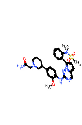 COc1cc(C2CCCN(CC(N)=O)C2)ccc1Nc1ncc2ccc(-c3ccccc3N(C)S(C)(=O)=O)n2n1